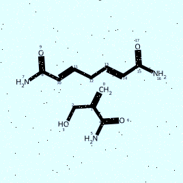 C=C(CO)C(N)=O.NC(=O)C=CCC=CC(N)=O